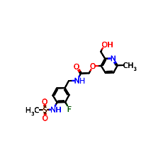 Cc1ccc(OCC(=O)NCc2ccc(NS(C)(=O)=O)c(F)c2)c(CO)n1